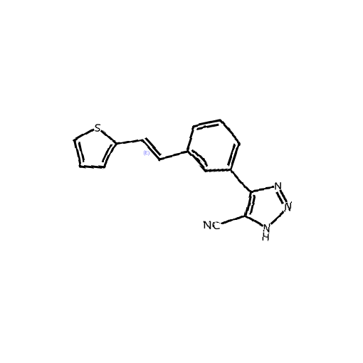 N#Cc1[nH]nnc1-c1cccc(/C=C/c2cccs2)c1